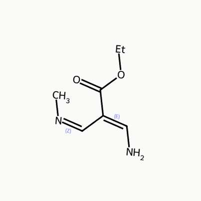 CCOC(=O)C(/C=N\C)=C/N